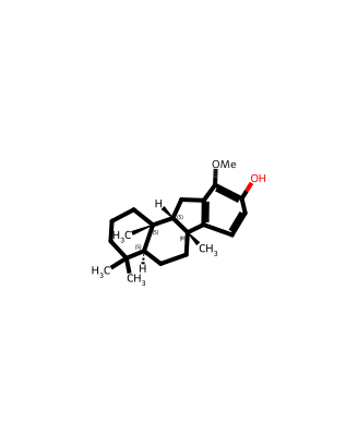 COc1c(O)ccc2c1C[C@H]1[C@@]3(C)CCCC(C)(C)[C@@H]3CC[C@@]21C